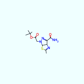 CC1=NC2C(C(N)=O)=NN(CC(=O)OC(C)(C)C)C2S1